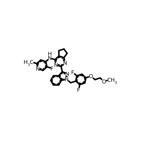 COCCOc1cc(F)c(Cn2nc(-c3nc4c(c(Nc5cc(C)ncc5F)n3)CCC4)c3ccccc32)c(F)c1